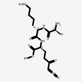 CC(=O)NCCCC[C@H](NC(=O)[C@@H](N)C(C)C)C(=O)N[C@@H](CCC(=O)C=[N+]=[N-])C(=O)OC(C)C